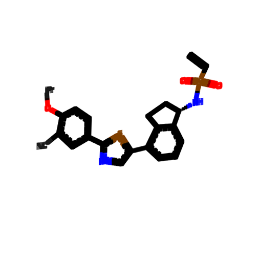 C=CS(=O)(=O)N[C@H]1CCc2c(-c3cnc(-c4ccc(OC(C)C)c(C#N)c4)s3)cccc21